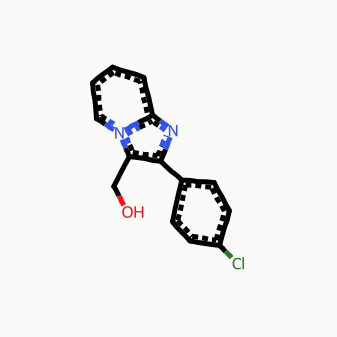 OCc1c(-c2ccc(Cl)cc2)nc2ccccn12